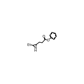 CCC1NC1CCC(=O)Oc1ccccc1